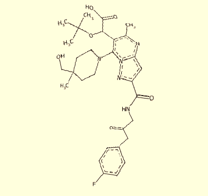 Cc1nc2cc(C(=O)NCC(=O)Cc3ccc(F)cc3)nn2c(N2CCC(C)(CO)CC2)c1C(OC(C)(C)C)C(=O)O